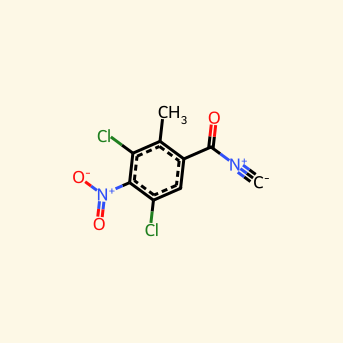 [C-]#[N+]C(=O)c1cc(Cl)c([N+](=O)[O-])c(Cl)c1C